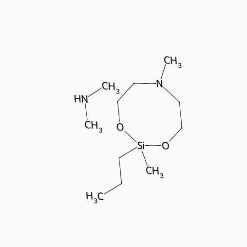 CCC[Si]1(C)OCCN(C)CCO1.CNC